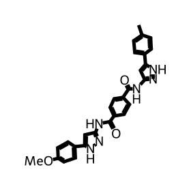 COc1ccc(-c2cc(NC(=O)c3ccc(C(=O)Nc4cc(-c5ccc(C)cc5)[nH]n4)cc3)n[nH]2)cc1